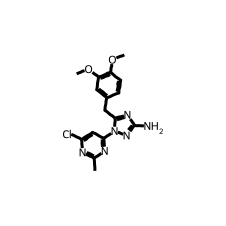 COc1ccc(Cc2nc(N)nn2-c2cc(Cl)nc(C)n2)cc1OC